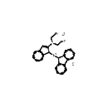 CC(C)CP(CC(C)C)C1=Cc2ccccc2[CH]1[Ti+2][CH]1c2ccccc2-c2ccccc21.[Cl-].[Cl-]